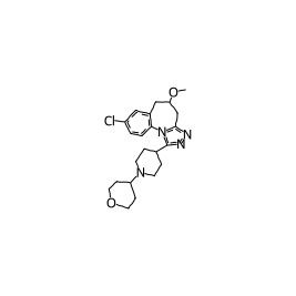 COC1Cc2cc(Cl)ccc2-n2c(nnc2C2CCN(C3CCOCC3)CC2)C1